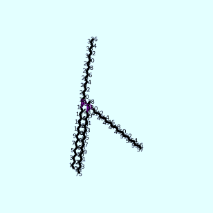 CCCCCCCCCCCCCCCCCCP(CCCCCCCCCCCCCCCCCC)C(C)P(CCCCCCCCCCCCCCCCCC)CCCCCCCCCCCCCCCCCC